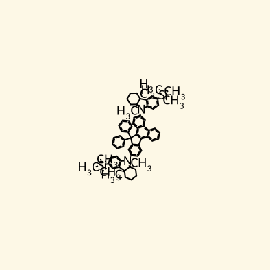 CC12CCCCC1(C)N(c1ccc3c(c1)C(c1ccccc1)(c1ccccc1)c1c-3c3ccccc3c3cc(N4c5ccc([Si](C)(C)C)cc5C5(C)CCCCC45C)ccc13)c1ccc([Si](C)(C)C)cc12